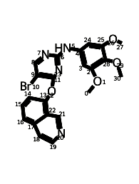 COc1cc(Nc2ncc(Br)c(Oc3cccc4ccncc34)n2)cc(OC)c1OC